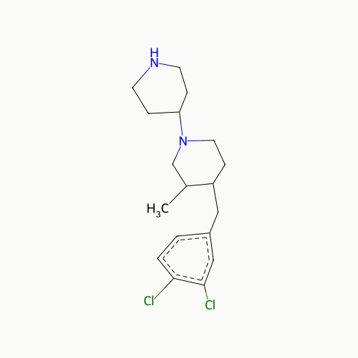 CC1CN(C2CCNCC2)CCC1Cc1ccc(Cl)c(Cl)c1